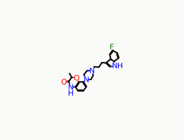 CC1Oc2c(cccc2N2CCN(CCCC3=CNC4C=CC(F)=CC34)CC2)NC1=O